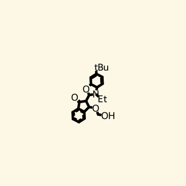 CCN1C2C=CC(C(C)(C)C)=CC2OC1C1C(=O)c2ccccc2C1OCO